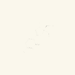 Nc1ccn(C2=C[C@H](O)[C@](CO)(CCl)O2)c(=O)n1